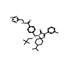 CC(C)C1CCC2(CC1)N=C(c1cccc(F)c1)C(=O)N2[C@H](CCC(C)(C)C)c1ccc(C(=O)NCc2nn[nH]n2)cc1